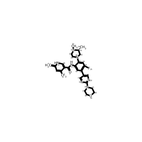 C=C1C=C(C(F)(F)F)C(C(=O)Nc2cc(-c3cnc(N4CCOCC4)nc3)c(F)cc2N2CCN(C)[C@H](C)C2)=CN1